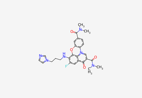 CN(C)C(=O)c1ccc2c(c1)Oc1c(NCCCn3ccnc3)c(F)cc3c(=O)c(C(=O)N(C)C)cn-2c13